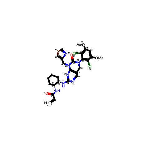 C=CC(=O)N[C@@H]1CCCC[C@@H]1Nc1ncc2c(n1)N(Cc1cscn1)C(=O)N(c1c(Cl)c(OC)cc(OC)c1Cl)C2